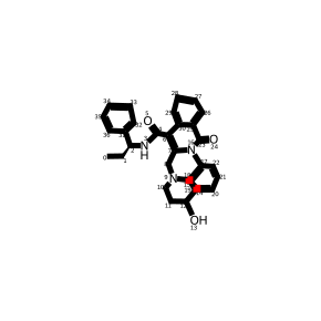 CC[C@H](NC(=O)c1c(CN2CCC(O)CC2)n(-c2ccccc2)c(=O)c2ccccc12)c1ccccc1